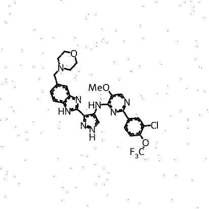 COc1cnc(-c2ccc(OC(F)(F)F)c(Cl)c2)nc1Nc1c[nH]nc1-c1nc2cc(CN3CCOCC3)ccc2[nH]1